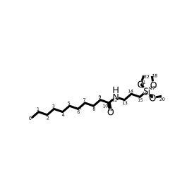 CCCCCC[CH]CCCC(=O)NCCC[Si](OC)(OC)OC